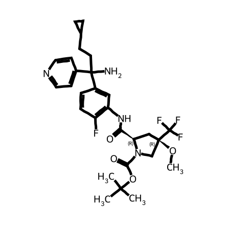 CO[C@]1(C(F)(F)F)C[C@H](C(=O)Nc2cc(C(N)(CCC3CC3)c3ccncc3)ccc2F)N(C(=O)OC(C)(C)C)C1